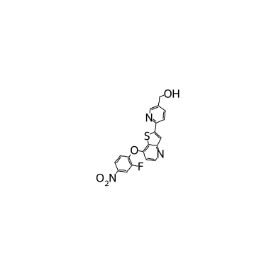 O=[N+]([O-])c1ccc(Oc2ccnc3cc(-c4ccc(CO)cn4)sc23)c(F)c1